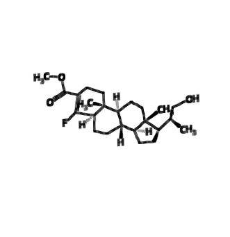 COC(=O)C1=C(F)[C@@H]2CC[C@@H]3[C@H](CC[C@]4(C)[C@@H]([C@H](C)CO)CC[C@@H]34)[C@@]2(C)CC1